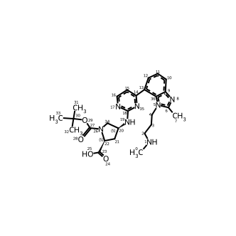 CNCCCn1c(C)nc2cccc(-c3ccnc(N[C@H]4C[C@@H](C(=O)O)N(C(=O)OC(C)(C)C)C4)n3)c21